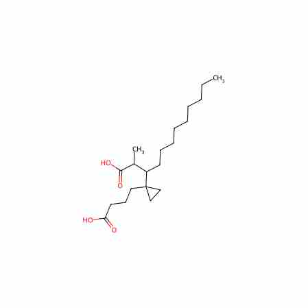 CCCCCCCCCC(C(C)C(=O)O)C1(CCCC(=O)O)CC1